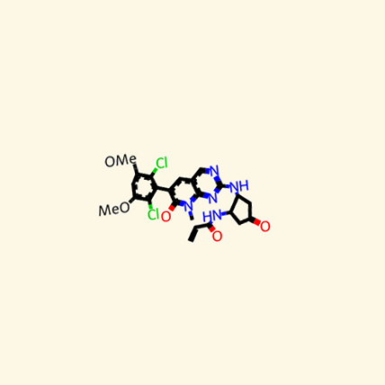 C=CC(=O)NC1CC(=O)CC1Nc1ncc2cc(-c3c(Cl)c(OC)cc(OC)c3Cl)c(=O)n(C)c2n1